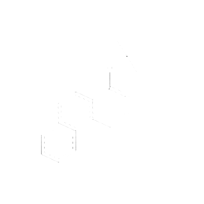 CC(C)(C)OC(=O)c1ccc2ccccc2c1C=O